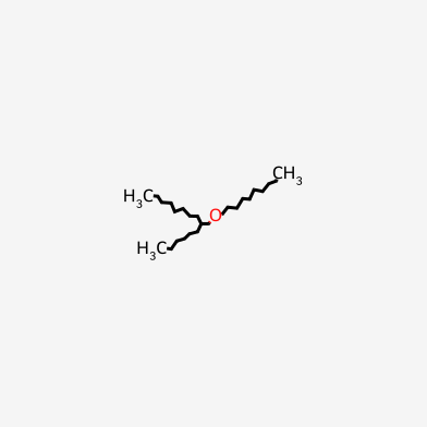 CCCCCCCCCCOCC(CCCCCC)CCCCCCCC